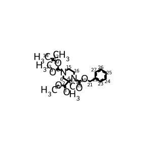 COC(=O)C1(C)CN(C(=O)OC(C)(C)C)CCN1C(=O)OCc1ccccc1